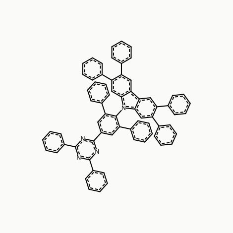 c1ccc(-c2nc(-c3ccccc3)nc(-c3cc(-c4ccccc4)c(-n4c5cc(-c6ccccc6)c(-c6ccccc6)cc5c5cc(-c6ccccc6)c(-c6ccccc6)cc54)c(-c4ccccc4)c3)n2)cc1